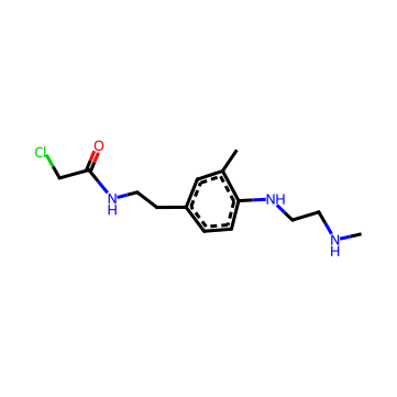 CNCCNc1ccc(CCNC(=O)CCl)cc1C